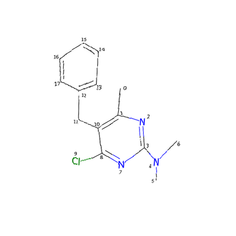 Cc1nc(N(C)C)nc(Cl)c1Cc1ccccc1